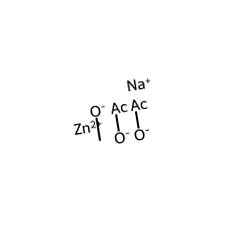 CC(=O)[O-].CC(=O)[O-].C[O-].[Na+].[Zn+2]